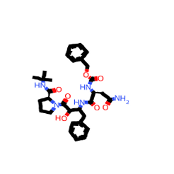 CC(C)(C)NC(=O)[C@@H]1CCCN1C(=O)C(O)C(Cc1ccccc1)NC(=O)[C@H](CC(N)=O)NC(=O)OCc1ccccc1